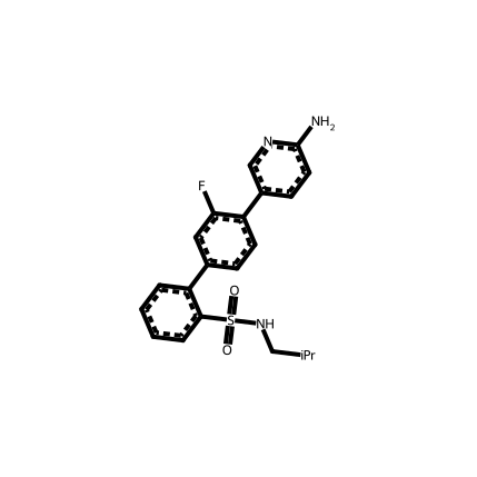 CC(C)CNS(=O)(=O)c1ccccc1-c1ccc(-c2ccc(N)nc2)c(F)c1